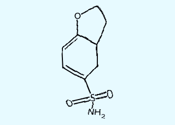 NS(=O)(=O)C1=CC=C2OCCC2C1